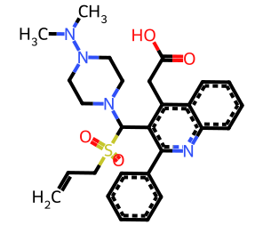 C=CCS(=O)(=O)C(c1c(-c2ccccc2)nc2ccccc2c1CC(=O)O)N1CCN(N(C)C)CC1